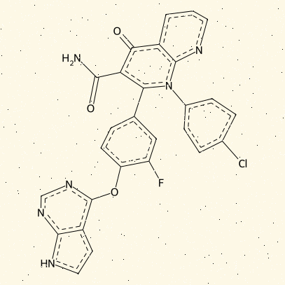 NC(=O)c1c(-c2ccc(Oc3ncnc4[nH]ccc34)c(F)c2)n(-c2ccc(Cl)cc2)c2ncccc2c1=O